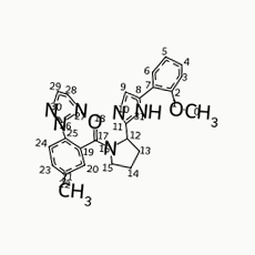 COc1ccccc1-c1cnc(C2CCCN2C(=O)c2cc(C)ccc2-n2nccn2)[nH]1